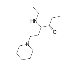 CCNC(CCN1CCCCC1)C(=O)CC